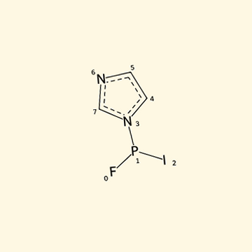 FP(I)n1ccnc1